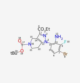 CCOC(=O)c1nn(-c2ccc(Br)c(F)c2N)c2c1CN(C(=O)OC(C)(C)C)CC2